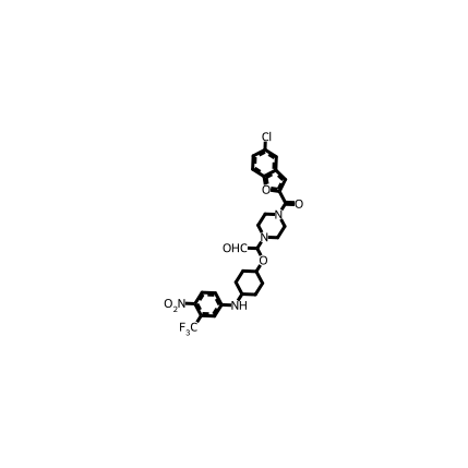 O=CC(OC1CCC(Nc2ccc([N+](=O)[O-])c(C(F)(F)F)c2)CC1)N1CCN(C(=O)c2cc3cc(Cl)ccc3o2)CC1